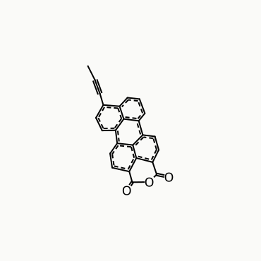 CC#Cc1ccc2c3ccc4c5c(ccc(c6cccc1c62)c53)C(=O)OC4=O